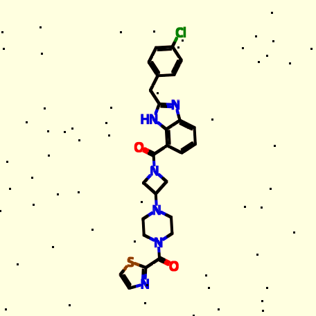 O=C(c1nccs1)N1CCN(C2CN(C(=O)c3cccc4nc(Cc5ccc(Cl)cc5)[nH]c34)C2)CC1